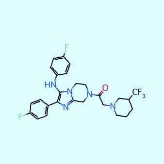 O=C(CN1CCCC(C(F)(F)F)C1)N1CCn2c(nc(-c3ccc(F)cc3)c2Nc2ccc(F)cc2)C1